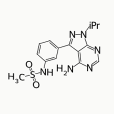 CC(C)n1nc(-c2cccc(NS(C)(=O)=O)c2)c2c(N)ncnc21